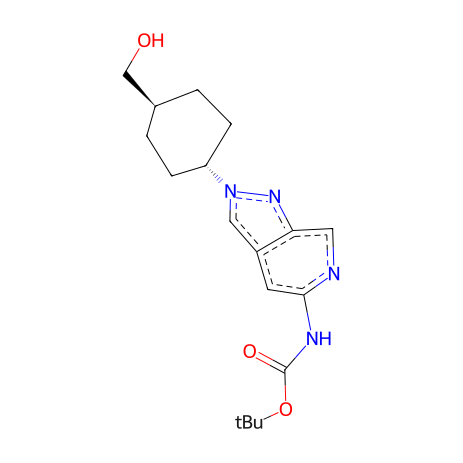 CC(C)(C)OC(=O)Nc1cc2cn([C@H]3CC[C@H](CO)CC3)nc2cn1